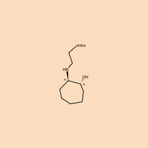 CCCCCCCCN[C@@H]1CCCCC[C@H]1O